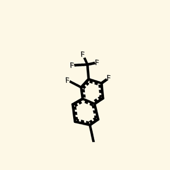 Cc1ccc2c(F)c(C(F)(F)F)c(F)cc2c1